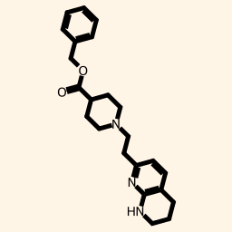 O=C(OCc1ccccc1)C1CCN(CCc2ccc3c(n2)NCCC3)CC1